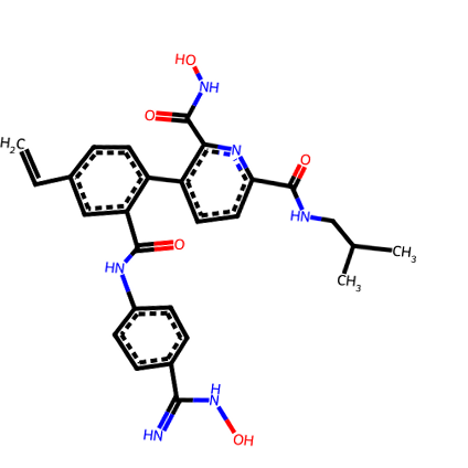 C=Cc1ccc(-c2ccc(C(=O)NCC(C)C)nc2C(=O)NO)c(C(=O)Nc2ccc(C(=N)NO)cc2)c1